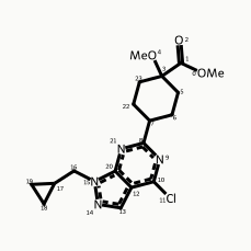 COC(=O)C1(OC)CCC(c2nc(Cl)c3cnn(CC4CC4)c3n2)CC1